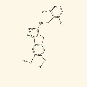 CCOc1cc2c(cc1OCC)-c1n[nH]c(NCc3c(Cl)cccc3Cl)c1C2